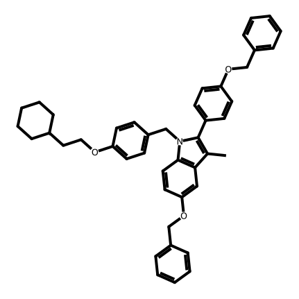 Cc1c(-c2ccc(OCc3ccccc3)cc2)n(Cc2ccc(OCC[C]3CCCCC3)cc2)c2ccc(OCc3ccccc3)cc12